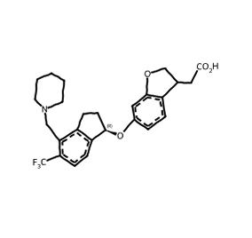 O=C(O)CC1COc2cc(O[C@@H]3CCc4c3ccc(C(F)(F)F)c4CN3CCCCC3)ccc21